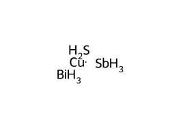 S.[BiH3].[Cu].[SbH3]